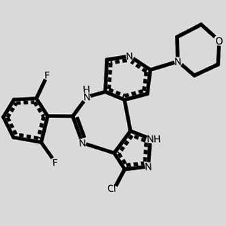 Fc1cccc(F)c1C1=Nc2c(Cl)n[nH]c2-c2cc(N3CCOCC3)ncc2N1